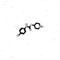 O=C(Nc1ccc(Cl)cc1)OC1CCNCC1